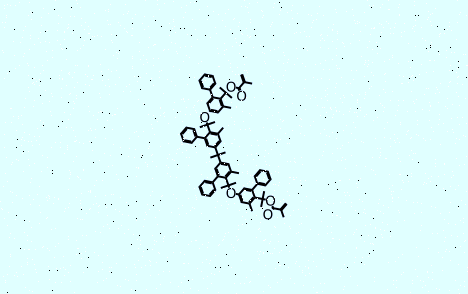 C=C(C)C(=O)OC(C)(C)c1c(C)cc(OC(C)(C)c2c(C)cc(C(C)(C)c3cc(C)c(C(C)(C)Oc4cc(C)c(C(C)(C)OC(=O)C(=C)C)c(-c5ccccc5)c4)c(-c4ccccc4)c3)cc2-c2ccccc2)cc1-c1ccccc1